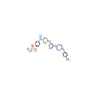 O=S(=O)(c1ccc(N[C@H]2CC[C@H](Oc3cncc(N4CCN(Cc5ccc(C(F)(F)F)cc5)CC4)c3)CC2)cc1)C(F)(F)F